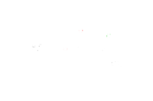 C=COC(=O)CC(=C)Cl